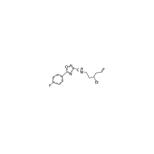 C=CCC(CC)CCNCc1noc(-c2ccc(F)cc2)n1